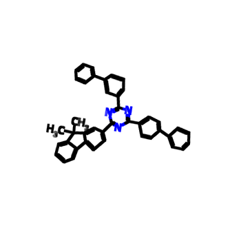 CC1(C)c2ccccc2-c2ccc(-c3nc(-c4ccc(-c5ccccc5)cc4)nc(-c4cccc(-c5ccccc5)c4)n3)cc21